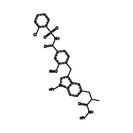 CCCNC(=O)C(C)Cc1ccc2c(c1)c(Cc1ccc(C(=O)NS(=O)(=O)c3ccccc3Cl)cc1OC)cn2CCC